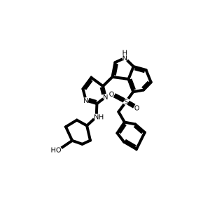 O=S(=O)(Cc1ccccc1)c1cccc2[nH]cc(-c3ccnc(NC4CCC(O)CC4)n3)c12